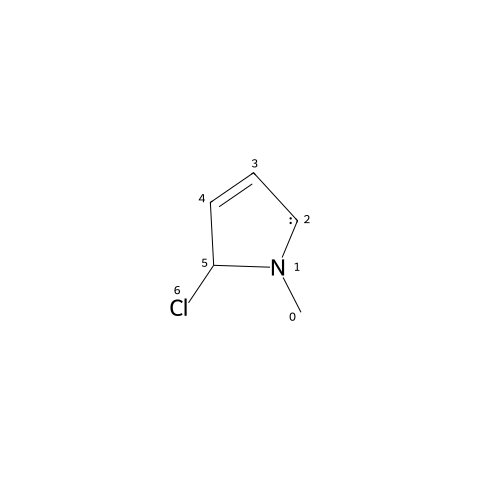 CN1[C]C=CC1Cl